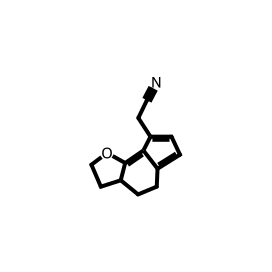 N#CCC1=CC=C2CCC3CCOC3=C12